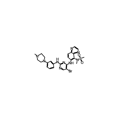 CN1CCN(c2cccc(Nc3ncc(Br)c(Nc4ccc5nccnc5c4N(C)S(C)(=O)=O)n3)c2)CC1